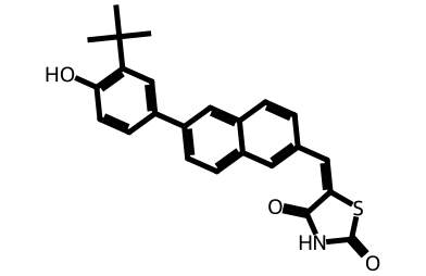 CC(C)(C)c1cc(-c2ccc3cc(C=C4SC(=O)NC4=O)ccc3c2)ccc1O